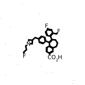 O=C(O)c1ccc2c(c1)CCCC(c1ccc(F)cc1CF)=C2c1ccc(CC2CN(CCCF)C2)cc1